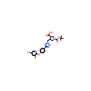 CC(C)(C)OC(=O)N1CC(Cn2nnc(-c3ccc(Oc4ncc(Cl)cc4F)cc3)n2)C(C(=O)O)C1